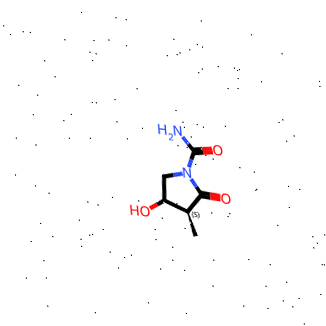 C[C@@H]1C(=O)N(C(N)=O)CC1O